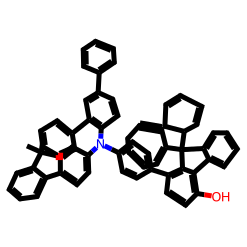 CC1(C)c2ccccc2-c2ccc(N(c3ccc(-c4ccc(O)c5c4C(C4=CC=CCC#C4)(C4C=CC=CC4)c4ccccc4-5)cc3)c3ccc(-c4ccccc4)cc3-c3ccccc3)cc21